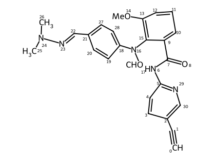 C#Cc1ccc(NC(=O)c2cccc(OC)c2N(C=O)c2ccc(C=NN(C)C)cc2)nc1